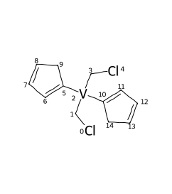 Cl[CH2][V]([CH2]Cl)([C]1=CC=CC1)[C]1=CC=CC1